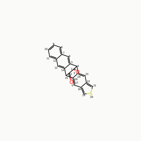 O=C1C(=O)C2c3cc4ccccc4cc3C1c1cc3cscc3cc12